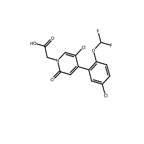 O=C(O)Cn1cc(Cl)c(-c2cc(Cl)ccc2OC(F)F)cc1=O